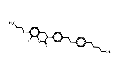 CCCCCc1ccc(CCc2ccc(C3Cc4ccc(OCCC)c(F)c4OC3=O)cc2)cc1